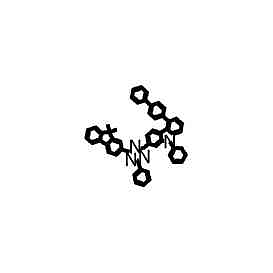 CC1(C)c2ccccc2-c2ccc(-c3nc(-c4ccccc4)nc(-c4ccc5c6c(-c7ccc(-c8ccccc8)cc7)cccc6n(C6=CC=CCC6)c5c4)n3)cc21